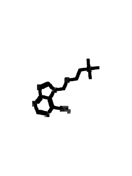 C[Si](C)(C)CCOCn1cnc2ncnc(N)c21